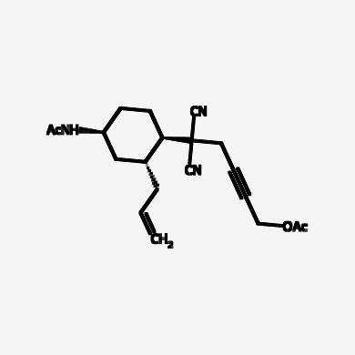 C=CC[C@@H]1C[C@@H](NC(C)=O)CC[C@H]1C(C#N)(C#N)CC#CCOC(C)=O